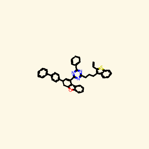 C=Cc1sc2ccccc2c1CCCc1nc(C2=CCCC=C2)nc(C2=CC(c3ccc(-c4ccccc4)cc3)Cc3oc4ccccc4c32)n1